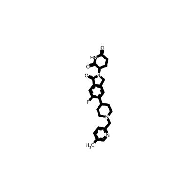 Cc1ccc(CN2CCC(c3cc4c(cc3F)C(=O)N(C3CCC(=O)NC3=O)C4)CC2)nc1